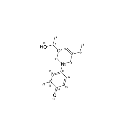 C=C(CC)CN(COC(C)O)c1ccc(=O)n(C)n1